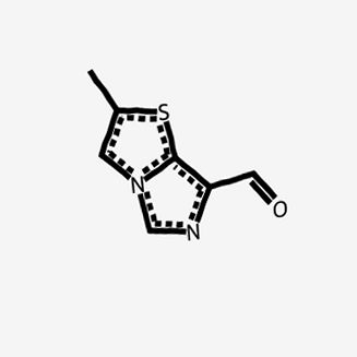 Cc1cn2cnc(C=O)c2s1